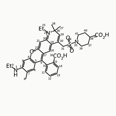 CCNc1cc2c(cc1C)C(c1ccccc1C(=O)O)=c1cc3c(cc1O2)=[N+](CC)C(C)(C)C=C3CS(=O)(=O)N1CCC(C(=O)O)CC1